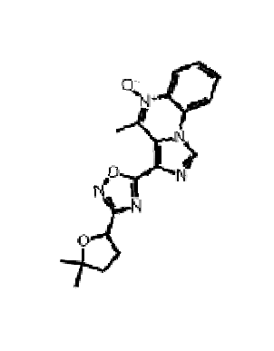 Cc1c2c(-c3nc(C4CCC(C)(C)O4)no3)ncn2c2ccccc2[n+]1[O-]